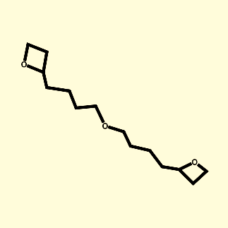 C(CCC1CCO1)COCCCCC1CCO1